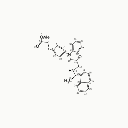 COC(=O)CCc1ccc(N2CC(CN[C@H](C)c3cccc4ccccc34)Oc3ccccc32)cc1